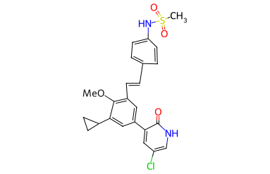 COc1c(/C=C/c2ccc(NS(C)(=O)=O)cc2)cc(-c2cc(Cl)c[nH]c2=O)cc1C1CC1